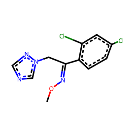 CON=C(Cn1cncn1)c1ccc(Cl)cc1Cl